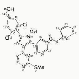 CSc1nccc(-c2nc(-c3c(Cl)cc(CO)cc3Cl)n(O)c2-c2cccc(OCc3ccccc3)c2)n1